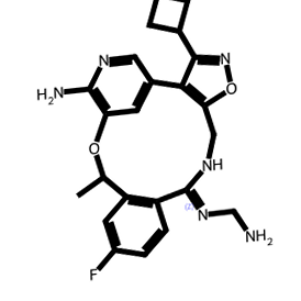 CC1Oc2cc(cnc2N)-c2c(C3CCC3)noc2CN/C(=N\CN)c2ccc(F)cc21